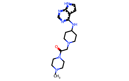 CN1CCN(C(=O)CN2CCC(Nc3ncnc4[nH]ccc34)CC2)CC1